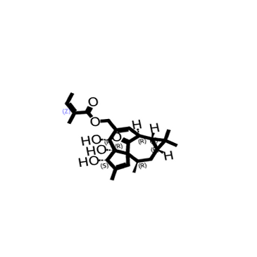 C/C=C(/C)C(=O)OCC1=C[C@@H]2C(=O)C3(C=C(C)[C@H](O)[C@@]3(O)[C@@H]1O)[C@H](C)C[C@@H]1[C@H]2C1(C)C